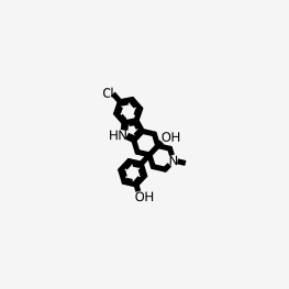 CN1CCC2(c3cccc(O)c3)Cc3[nH]c4cc(Cl)ccc4c3CC2(O)C1